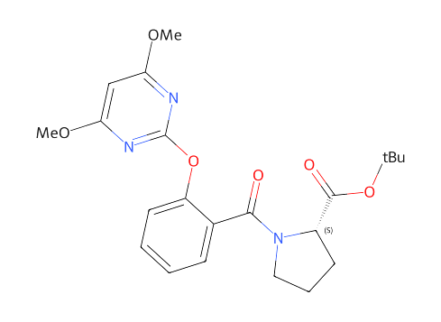 COc1cc(OC)nc(Oc2ccccc2C(=O)N2CCC[C@H]2C(=O)OC(C)(C)C)n1